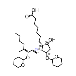 CCCCC(C)=C(/C=C/[C@@H]1[C@@H](CCCCCCC(=O)O)[C@@H](O)C[C@H]1OC1CCCCO1)OC1CCCCO1